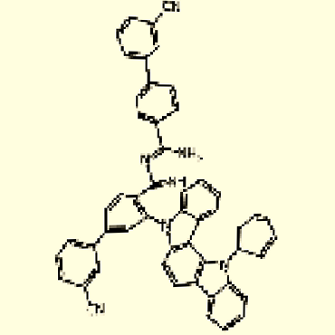 N#Cc1cccc(-c2ccc(/C(N)=N/C(=N)c3ccc(-c4cccc(C#N)c4)cc3-n3c4ccccc4c4c3ccc3c5ccccc5n(-c5ccccc5)c34)cc2)c1